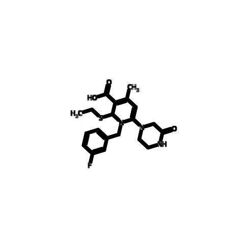 CCSC1C(C(=O)O)=C(C)C=C(N2CCNC(=O)C2)N1Cc1cccc(F)c1